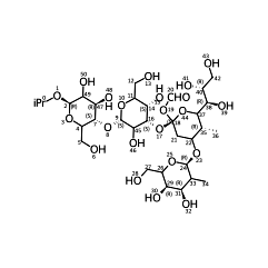 CC(C)O[C@@H]1OC(CO)[C@@H](O[C@@H]2OC(CO)[C@H](O)[C@H](O[C@]3(OC=O)CC(O[C@@H]4OC(CO)[C@H](O)[C@H](O)C4C)[C@@H](C)C([C@H](O)[C@H](O)CO)O3)C2O)[C@H](O)C1O